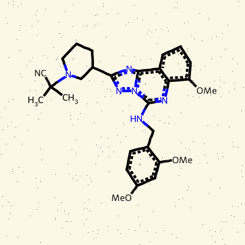 COc1ccc(CNc2nc3c(OC)cccc3c3nc(C4CCCN(C(C)(C)C#N)C4)nn23)c(OC)c1